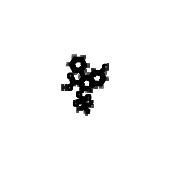 O=C(O)c1c(OS(=O)(=O)C(F)(F)F)nc2ccc(Cl)cc2c1-c1ccccc1